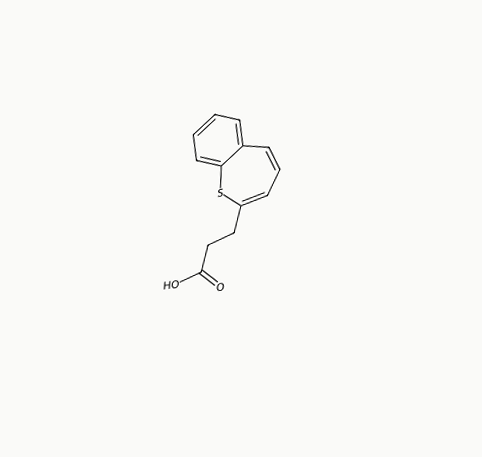 O=C(O)CCC1=CC=Cc2ccccc2S1